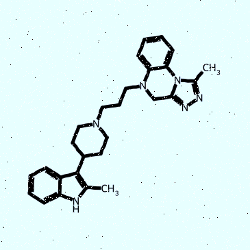 Cc1[nH]c2ccccc2c1C1CCN(CCCN2Cc3nnc(C)n3-c3ccccc32)CC1